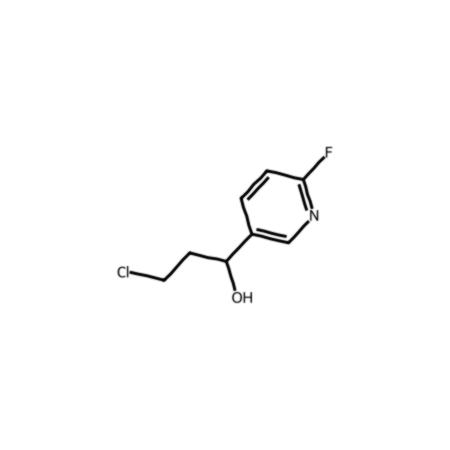 OC(CCCl)c1ccc(F)nc1